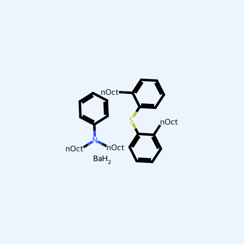 CCCCCCCCN(CCCCCCCC)c1ccccc1.CCCCCCCCc1ccccc1Sc1ccccc1CCCCCCCC.[BaH2]